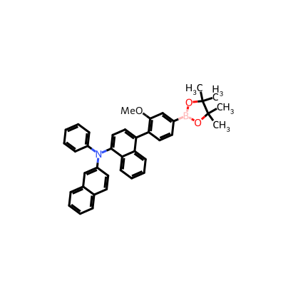 COc1cc(B2OC(C)(C)C(C)(C)O2)ccc1-c1ccc(N(c2ccccc2)c2ccc3ccccc3c2)c2ccccc12